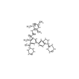 CCN(c1cc(-c2ccc3c(c2)CCC3N2CCOCC2)cc(C(=O)NCC2=C(C)C=C(C)NC2C)c1C)C1CCOCC1